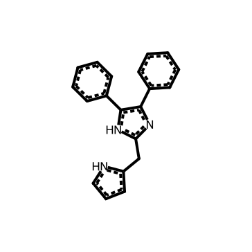 c1ccc(-c2nc(Cc3ccc[nH]3)[nH]c2-c2ccccc2)cc1